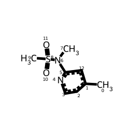 Cc1ccnc(N(C)S(C)(=O)=O)c1